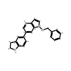 c1ccc(COn2ccc3ncc(-c4ccc5c(c4)CCO5)cc32)cc1